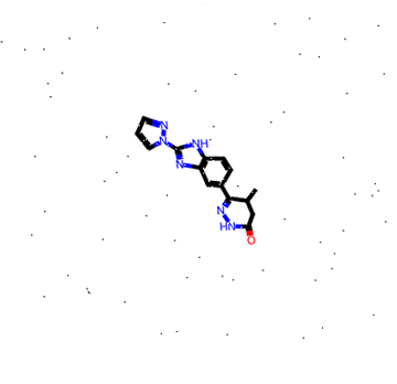 CC1CC(=O)NN=C1c1ccc2[nH]c(-n3cccn3)nc2c1